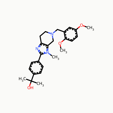 COc1ccc(OC)c(CN2CCc3nc(-c4ccc(C(C)(C)O)cc4)n(C)c3C2)c1